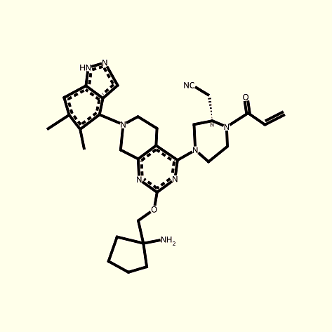 C=CC(=O)N1CCN(c2nc(OCC3(N)CCCC3)nc3c2CCN(c2c(C)c(C)cc4[nH]ncc24)C3)C[C@@H]1CC#N